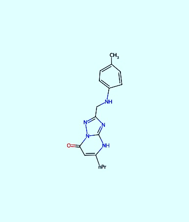 CCCc1cc(=O)n2nc(CNc3ccc(C)cc3)nc2[nH]1